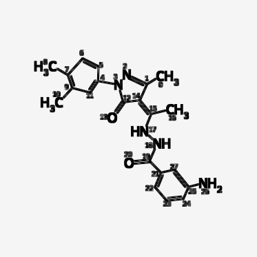 CC1=NN(c2ccc(C)c(C)c2)C(=O)/C1=C(/C)NNC(=O)c1cccc(N)c1